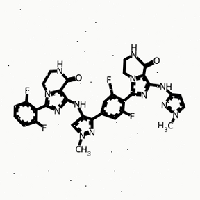 Cn1ccc(Nc2nc(-c3c(F)cc(-c4nn(C)cc4Nc4nc(-c5c(F)cccc5F)n5c4C(=O)NCC5)cc3F)n3c2C(=O)NCC3)n1